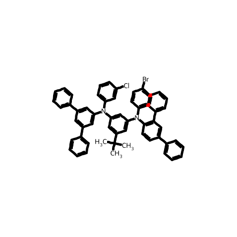 CC(C)(C)c1cc(N(c2cccc(Cl)c2)c2cc(-c3ccccc3)cc(-c3ccccc3)c2)cc(N(c2ccc(Br)cc2)c2ccc(-c3ccccc3)cc2-c2ccccc2)c1